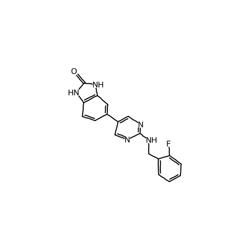 O=c1[nH]c2ccc(-c3cnc(NCc4ccccc4F)nc3)cc2[nH]1